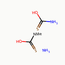 CNC(O)=S.N.NC(O)=S